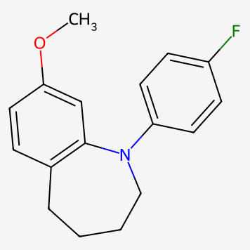 COc1ccc2c(c1)N(c1ccc(F)cc1)CCCC2